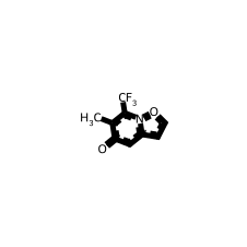 Cc1c(C(F)(F)F)n2occc2cc1=O